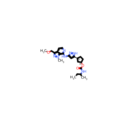 CCC(C)NC(=O)O[C@@H]1CC[C@H](c2cc(Nc3nccc4c(COC)nn(C)c34)n[nH]2)C1